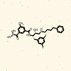 CCCN(CCC)C(=O)c1cc(C)cc(C(=O)N[C@@H](Cc2cc(F)cc(F)c2)[C@H](O)CNCCCCc2ccccc2)c1